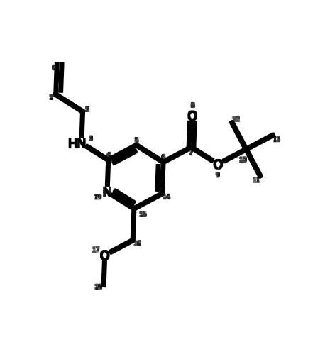 C=CCNc1cc(C(=O)OC(C)(C)C)cc(COC)n1